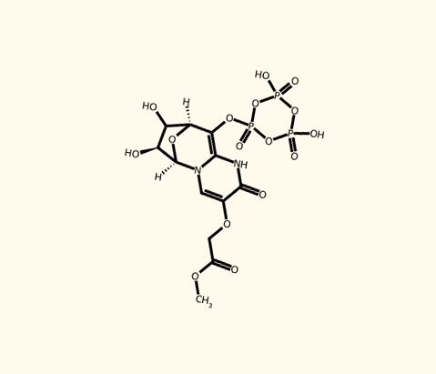 COC(=O)COC1=CN2C(=C(OP3(=O)OP(=O)(O)OP(=O)(O)O3)[C@H]3O[C@@H]2[C@@H](O)C3O)NC1=O